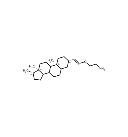 C[C@H]1CCC2C3CCC4C[C@@H](C=NOCCN)CC[C@]4(C)C3CC[C@@]21C